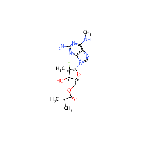 CNc1nc(N)nc2c1ncn2[C@@H]1O[C@H](COC(=O)C(C)C)[C@@H](O)[C@@]1(C)F